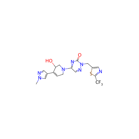 Cn1cc(C2=CCN(c3cnn(Cc4cnc(C(F)(F)F)s4)c(=O)n3)CC2O)cn1